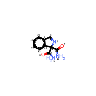 NC(=O)C1(C(N)=O)N=Cc2ccccc21